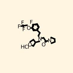 Cl.O=C(CN(CCc1ccc(F)c(OCC(F)(F)F)c1)CC1CCOC1)N1CCCC1